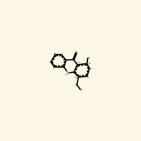 C=C1c2ccccc2Sc2c(CC)ccc(C)c21